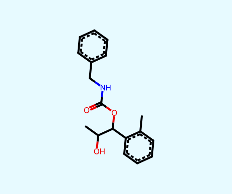 Cc1ccccc1C(OC(=O)NCc1ccccc1)C(C)O